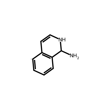 NC1NC=Cc2[c]cccc21